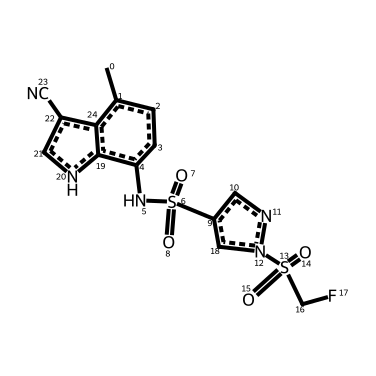 Cc1ccc(NS(=O)(=O)c2cnn(S(=O)(=O)CF)c2)c2[nH]cc(C#N)c12